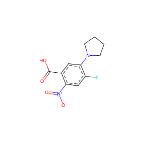 O=C(O)c1cc(N2CCCC2)c(F)cc1[N+](=O)[O-]